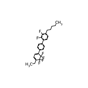 CCCCCc1ccc(-c2ccc(C3=CC=C(CC)C(F)(F)C3(F)F)cc2)c(F)c1F